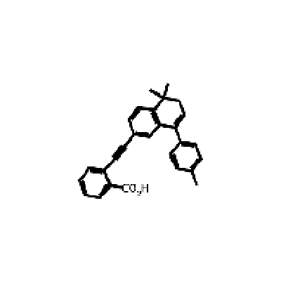 Cc1ccc(C2=CCC(C)(C)c3ccc(C#Cc4ccccc4C(=O)O)cc32)cc1